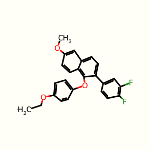 [CH2]COc1ccc(Oc2c(-c3ccc(F)c(F)c3)ccc3cc(OC)ccc23)cc1